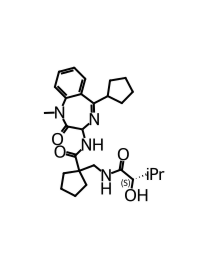 CC(C)[C@H](O)C(=O)NCC1(C(=O)NC2N=C(C3CCCC3)c3ccccc3N(C)C2=O)CCCC1